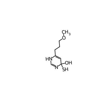 COCCCC1=CC(O)(S)N=CN1